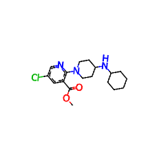 COC(=O)c1cc(Cl)cnc1N1CCC(NC2CCCCC2)CC1